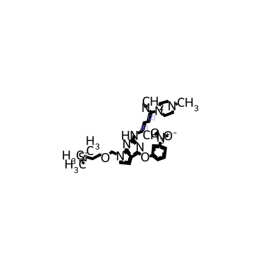 C=N/C(=C\C=C(/C)Nc1nc(Oc2cccc([N+](=O)[O-])c2)c2ccn(COCC[Si](C)(C)C)c2n1)N1CCN(C)CC1